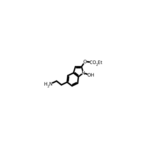 CCOC(=O)Oc1cc2cc(CCN)ccc2n1O